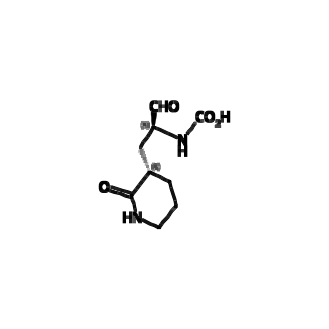 O=C[C@H](C[C@@H]1CCCNC1=O)NC(=O)O